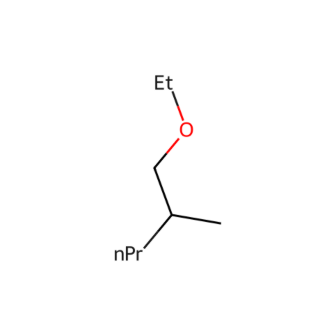 [CH2]CCC(C)COCC